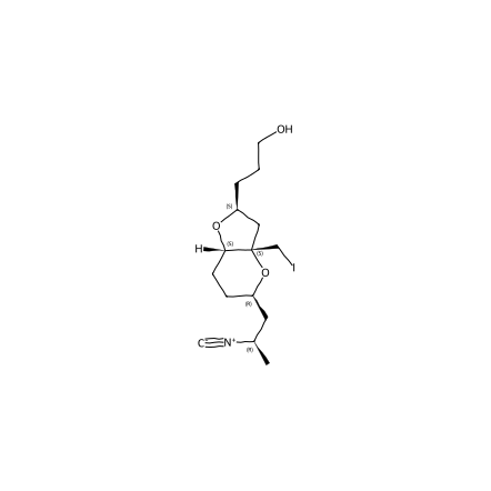 [C-]#[N+][C@H](C)C[C@H]1CC[C@@H]2O[C@@H](CCCO)C[C@]2(CI)O1